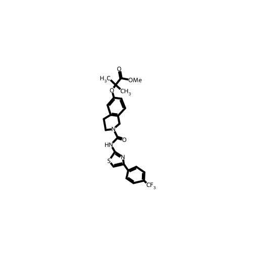 COC(=O)C(C)(C)Oc1ccc2c(c1)CCN(C(=O)Nc1nc(-c3ccc(C(F)(F)F)cc3)cs1)C2